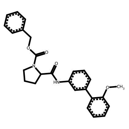 COc1ccccc1-c1cccc(NC(=O)C2CCCN2C(=O)OCc2ccccc2)c1